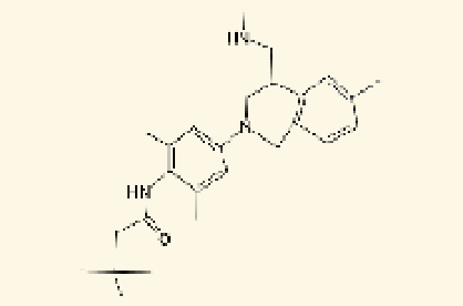 CNCC1CN(c2cc(C)c(NC(=O)CC(C)(C)C)c(C)c2)Cc2ccc(F)cc21